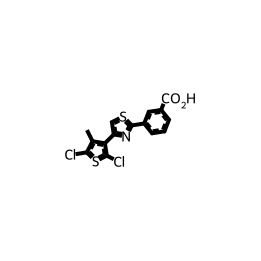 Cc1c(Cl)sc(Cl)c1-c1csc(-c2cccc(C(=O)O)c2)n1